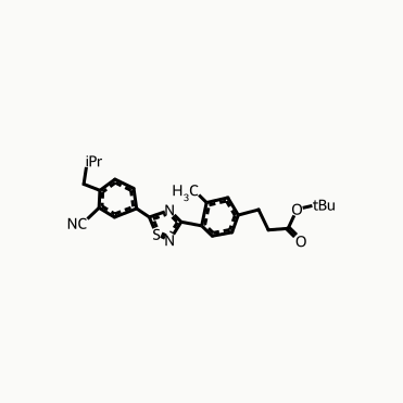 Cc1cc(CCC(=O)OC(C)(C)C)ccc1-c1nsc(-c2ccc(CC(C)C)c(C#N)c2)n1